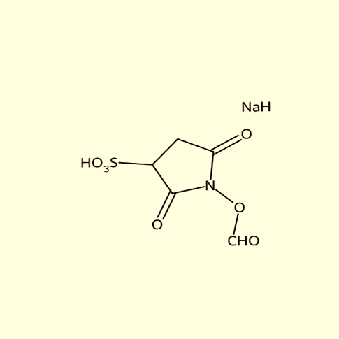 O=CON1C(=O)CC(S(=O)(=O)O)C1=O.[NaH]